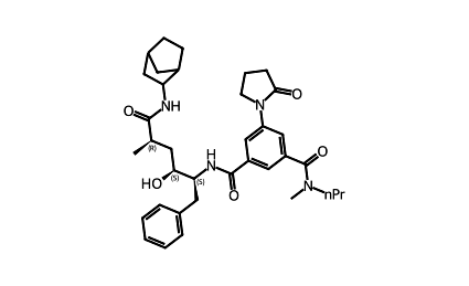 CCCN(C)C(=O)c1cc(C(=O)N[C@@H](Cc2ccccc2)[C@@H](O)C[C@@H](C)C(=O)NC2CC3CCC2C3)cc(N2CCCC2=O)c1